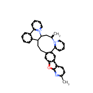 C=C1CC2C(CCc3cc4oc5nc(C)ccc5c4cc3-c3cccc[n+]31)c1ccccc1-c1cccc[n+]12